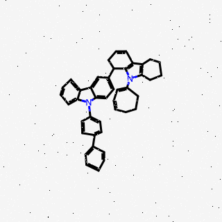 C1=CCCCC(n2c3c(c4c2C(c2ccc5c(c2)c2ccccc2n5-c2ccc(-c5ccccc5)cc2)CC=C4)CCCC3)=C1